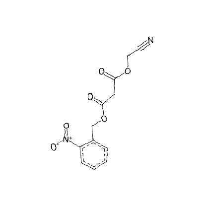 N#CCOC(=O)CC(=O)OCc1ccccc1[N+](=O)[O-]